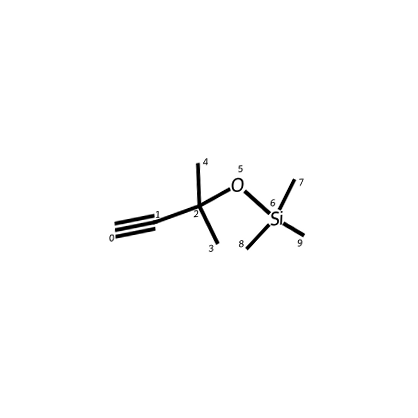 C#CC(C)(C)O[Si](C)(C)C